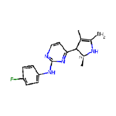 BC1=C(C)C(c2ccnc(Nc3ccc(F)cc3)n2)[C@H](C)N1